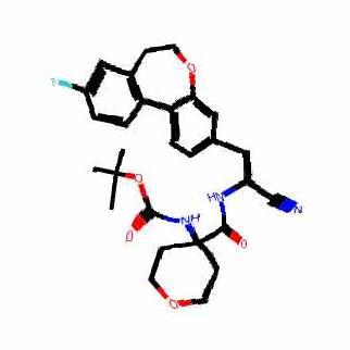 CC(C)(C)OC(=O)NC1(C(=O)NC(C#N)Cc2ccc3c(c2)OCCc2cc(F)ccc2-3)CCOCC1